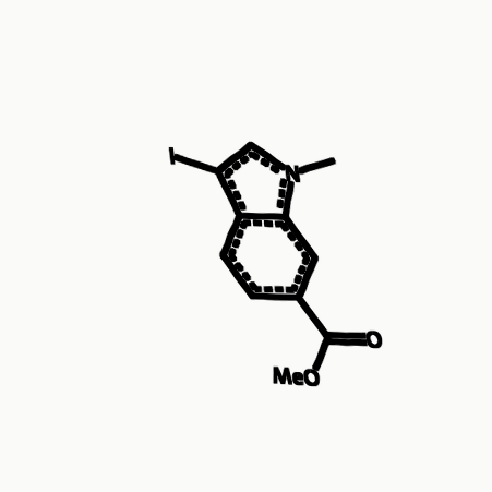 COC(=O)c1ccc2c(I)cn(C)c2c1